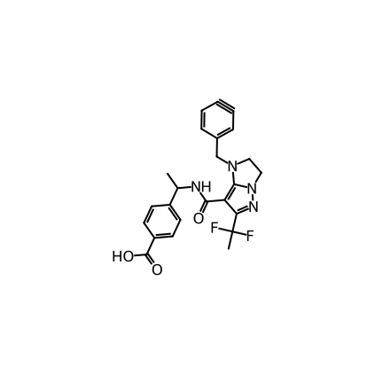 CC(NC(=O)c1c(C(C)(F)F)nn2c1N(Cc1cc#ccc1)CC2)c1ccc(C(=O)O)cc1